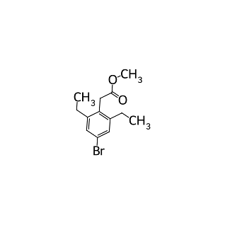 CCc1cc(Br)cc(CC)c1CC(=O)OC